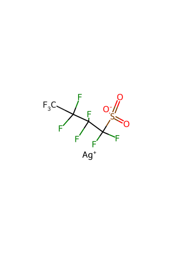 O=S(=O)([O-])C(F)(F)C(F)(F)C(F)(F)C(F)(F)F.[Ag+]